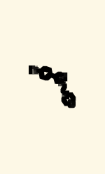 CCc1ccc(-c2cnn(CCN3CCOCC3)c2)cc1